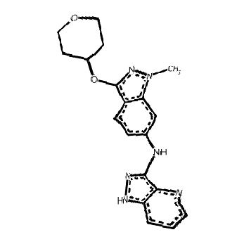 Cn1nc(OC2CCOCC2)c2ccc(Nc3n[nH]c4cccnc34)cc21